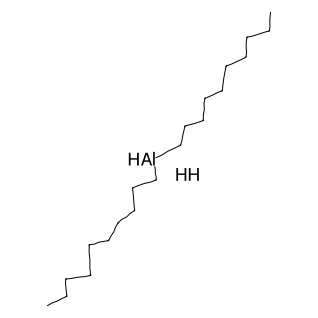 CCCCCCCCC[CH2][AlH][CH2]CCCCCCCCC.[HH]